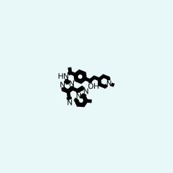 Cc1cccn2c(-c3nc(NC(C)c4ccc(C(O)CC5CCN(C)CC5)cc4)ncc3C#N)cnc12